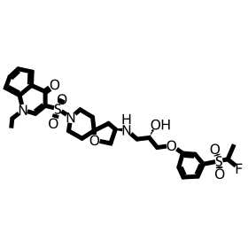 CCn1cc(S(=O)(=O)N2CCC3(CC2)C[C@@H](NC[C@H](O)COc2cccc(S(=O)(=O)C(C)F)c2)CO3)c(=O)c2ccccc21